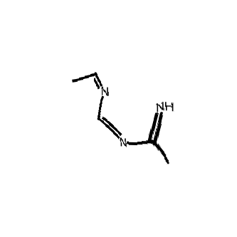 C/C=N\C=N/C(C)=N